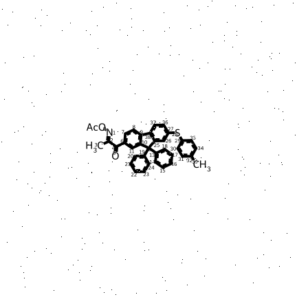 CC(=O)ON=C(C)C(=O)c1ccc2c(c1)C(c1ccccc1)(c1ccccc1)c1cc(Sc3ccc(C)cc3)ccc1-2